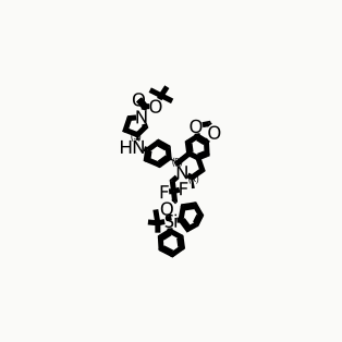 C[C@@H]1Cc2cc3c(cc2[C@@H](c2ccc(N[C@H]4CCN(C(=O)OC(C)(C)C)C4)cc2)N1CC(F)(F)CO[Si](c1ccccc1)(c1ccccc1)C(C)(C)C)OCO3